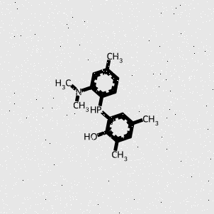 Cc1cc(C)c(O)c(Pc2ccc(C)cc2N(C)C)c1